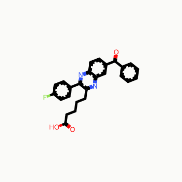 O=C(O)CCCCc1nc2cc(C(=O)c3ccccc3)ccc2nc1-c1ccc(F)cc1